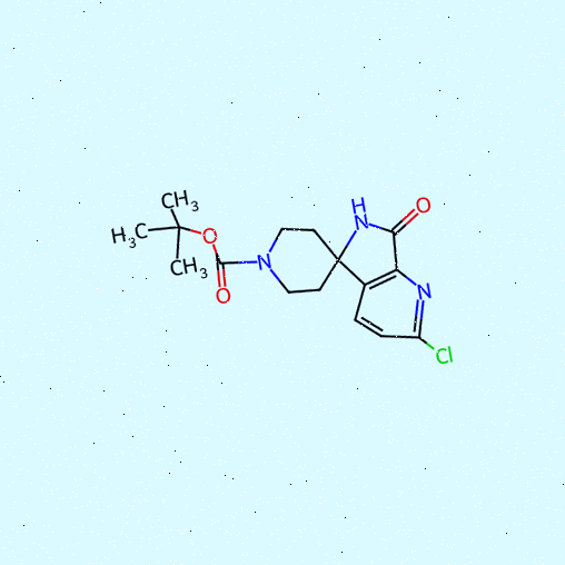 CC(C)(C)OC(=O)N1CCC2(CC1)NC(=O)c1nc(Cl)ccc12